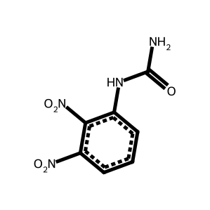 NC(=O)Nc1cccc([N+](=O)[O-])c1[N+](=O)[O-]